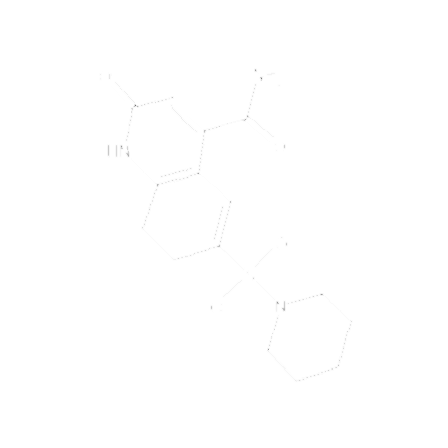 NC(=O)c1cc(=O)[nH]c2ccc(S(=O)(=O)N3CCCCC3)cc12